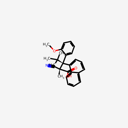 COc1ccccc1[C@@](c1cccc2ccccc12)(C(C)(C)C)[C@@](C)(C#N)C(=O)O